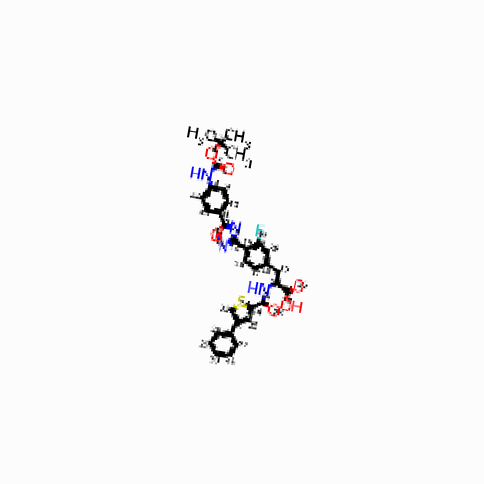 CC(C)(C)OC(=O)Nc1ccc(-c2nc(-c3ccc(CC(NC(=O)c4cc(-c5ccccc5)cs4)C(=O)O)cc3F)no2)cc1